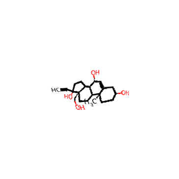 C#C[C@]1(O)CCC2C3C(CC[C@@]21CO)[C@@]1(C)CC[C@H](O)CC1=C[C@@H]3O